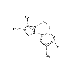 Cc1nn(-c2cc([N+](=O)[O-])c(F)cc2F)c(C)c1Cl